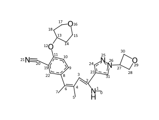 CN/C(=C\C(C)=C(\C)c1ccc(OC2CCOCC2)c(C#N)c1)c1cnn(C2COC2)c1